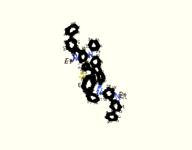 CCn1c2c(c3cc(-c4ccccc4)ccc31)C=C(N(C1=CC=C3C4=CC=C(N(c5ccccc5)c5ccc6c(c5)c5cc(-c7ccccc7)ccc5n6CC)CC4C4(c5ccccc5Sc5ccccc54)C3C1)c1ccccc1)CC2